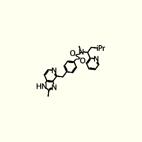 Cc1nc2c(Cc3ccc(S(=O)(=O)N(C)C(CC(C)C)c4ccccn4)cc3)nccc2[nH]1